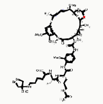 COc1cc(NC(=O)O[C@H]2CC(=O)N(C)c3cc(cc(OC)c3Cl)C/C(C)=C/C=C/[C@@H](OC)[C@@]3(O)C[C@H](OC(=O)N3)[C@@H](C)[C@@H]3O[C@@]23C)ccc1NC(=O)[C@H](CCCNC(N)=O)NC(=O)[C@@H](NC(C=O)CCCCNC(C=O)(CBr)CBr)C(C)C